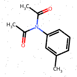 CC(=O)N(C(C)=O)c1cccc(C)c1